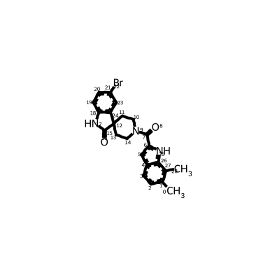 Cc1ccc2cc(C(=O)N3CCC4(CC3)C(=O)Nc3ccc(Br)cc34)[nH]c2c1C